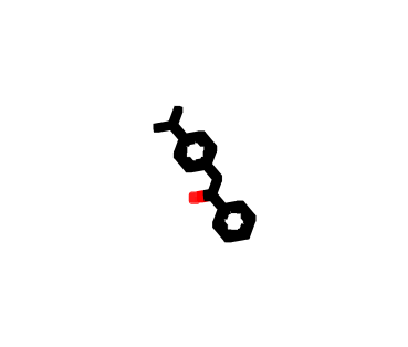 CC(C)c1ccc(CC(=O)c2ccccc2)cc1